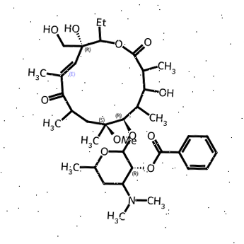 CCC1OC(=O)C(C)C(O)C(C)[C@@H](OC2OC(C)CC(N(C)C)[C@H]2OC(=O)c2ccccc2)[C@@](C)(OC)CC(C)C(=O)/C(C)=C/[C@@]1(O)CO